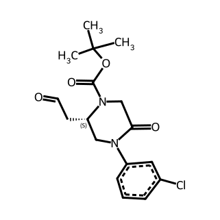 CC(C)(C)OC(=O)N1CC(=O)N(c2cccc(Cl)c2)C[C@@H]1CC=O